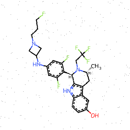 C[C@@H]1Cc2c([nH]c3ccc(O)cc23)[C@@H](c2c(F)cc(NC3CN(CCCF)C3)cc2F)N1CC(F)(F)F